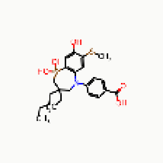 CCCCC1(CC)CN(c2ccc(C(=O)O)cc2)c2cc(SC)c(O)cc2S(O)(O)C1